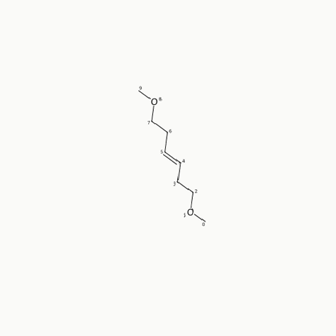 COCCC=CCCOC